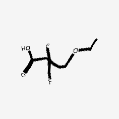 CCOCC(F)(F)C(=O)O